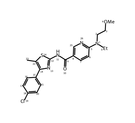 CCN(CCOC)c1ccc(C(=O)Nc2nc(-c3ccc(Cl)cc3)c(C)s2)cn1